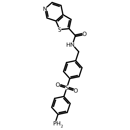 O=C(NCc1ccc(S(=O)(=O)c2ccc(P)cc2)cc1)c1cc2ccncc2s1